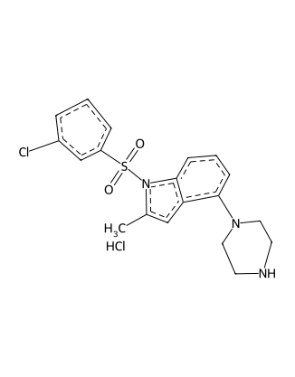 Cc1cc2c(N3CCNCC3)cccc2n1S(=O)(=O)c1cccc(Cl)c1.Cl